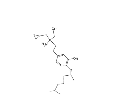 CC(C)CCCC(C)Oc1ccc(CCC(N)(CO)CC2CC2)cc1O